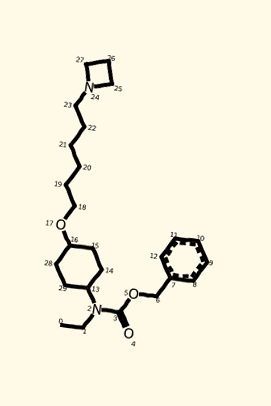 CCN(C(=O)OCc1ccccc1)C1CCC(OCCCCCCN2CCC2)CC1